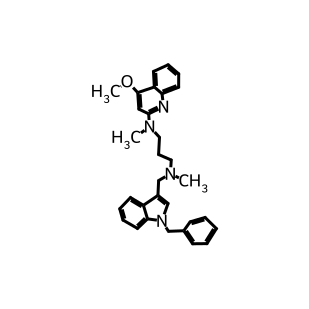 COc1cc(N(C)CCCN(C)Cc2cn(Cc3ccccc3)c3ccccc23)nc2ccccc12